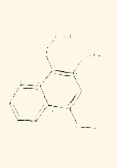 CCCCCCCCOc1cc(OC)c(OCCCCCCCC)c2ccccc12